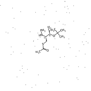 CC(=O)SC[C@@H](NP)[C@@H](C)OC(C)(C)C